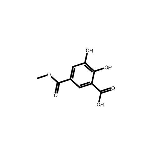 COC(=O)c1cc(O)c(O)c(C(=O)O)c1